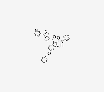 Cn1c(C(=O)Nc2ccccc2)c(C(=O)c2ccn3c2CSC3c2cccnc2)c2ccc(OCc3ccccc3)cc21